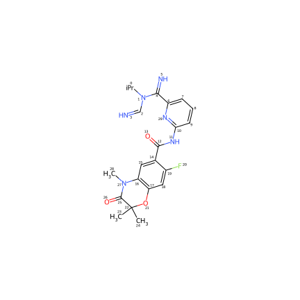 CC(C)N(C=N)C(=N)c1cccc(NC(=O)c2cc3c(cc2F)OC(C)(C)C(=O)N3C)n1